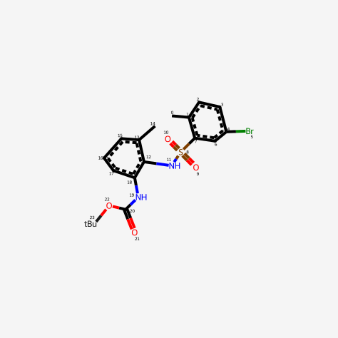 Cc1ccc(Br)cc1S(=O)(=O)Nc1c(C)cccc1NC(=O)OC(C)(C)C